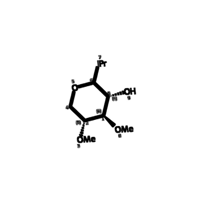 CO[C@H]1[C@H](OC)COC(C(C)C)[C@@H]1O